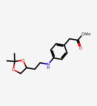 COC(=O)Cc1ccc(NCCC2COC(C)(C)O2)cc1